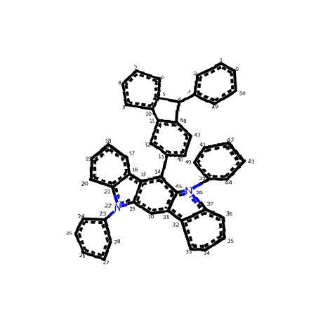 c1ccc(C2c3ccccc3-c3cc(-c4c5c6ccccc6n(-c6ccccc6)c5cc5c6ccccc6n(-c6ccccc6)c45)ccc32)cc1